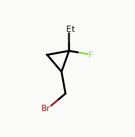 CCC1(F)CC1CBr